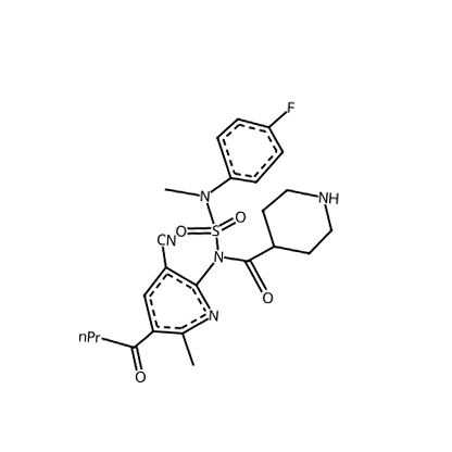 CCCC(=O)c1cc(C#N)c(N(C(=O)C2CCNCC2)S(=O)(=O)N(C)c2ccc(F)cc2)nc1C